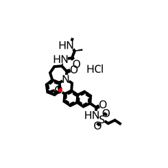 CCCS(=O)(=O)NC(=O)c1ccc2c(CN3C(=O)[C@@H](NC(=O)[C@H](C)NC)CCc4ccccc43)c(OC)ccc2c1.Cl